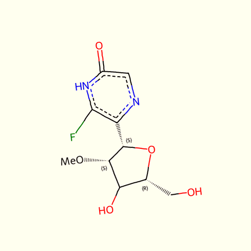 CO[C@H]1C(O)[C@@H](CO)O[C@H]1c1ncc(=O)[nH]c1F